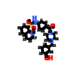 O=C(c1ccc(NS(=O)(=O)c2cccc3cccnc23)cc1)N1CCN(Cc2cccc(O)c2)CC1